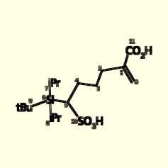 C=C(CCCC([Si](C(C)C)(C(C)C)C(C)(C)C)S(=O)(=O)O)C(=O)O